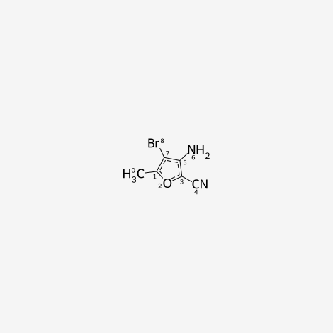 Cc1oc(C#N)c(N)c1Br